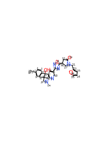 CC(C)c1ccc(C(O)(c2cncc(-c3noc(C4CC(=O)N(Cc5ccco5)C4)n3)c2)C2(C)CN(C)C2)cc1